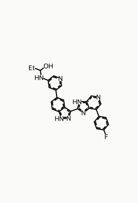 CCC(O)Nc1cncc(-c2ccc3[nH]nc(-c4nc5c(-c6ccc(F)cc6)cncc5[nH]4)c3c2)c1